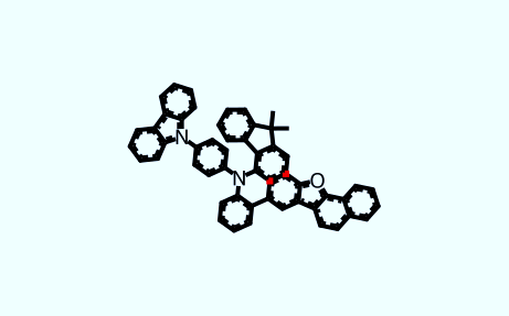 CC1(C)c2ccccc2-c2c(N(c3ccc(-n4c5ccccc5c5ccccc54)cc3)c3ccccc3-c3ccc4oc5c6ccccc6ccc5c4c3)cccc21